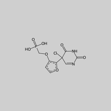 O=C1N=CC(Cl)(c2occc2OCP(=O)(O)O)C(=O)N1